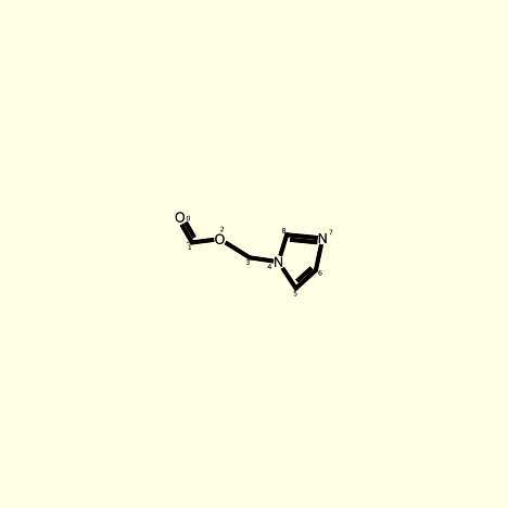 O=[C]OCn1ccnc1